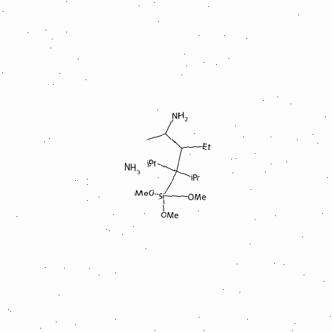 CCC(C(C)N)C(C(C)C)(C(C)C)[Si](OC)(OC)OC.N